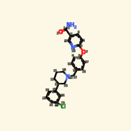 NC(=O)c1ccc(Oc2ccc(CN3CCCC(c4cccc(Cl)c4)C3)cc2)nc1